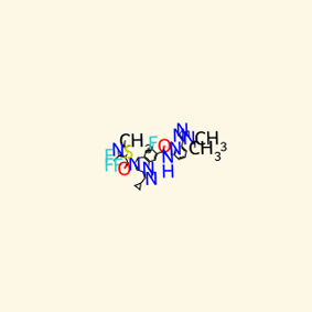 Cc1nc(C(F)(F)F)c(C(=O)N2Cc3cc(F)c(C(=O)Nc4cccc(-c5nncn5C(C)C)n4)cc3-n3cnc(C4CC4)c3C2)s1